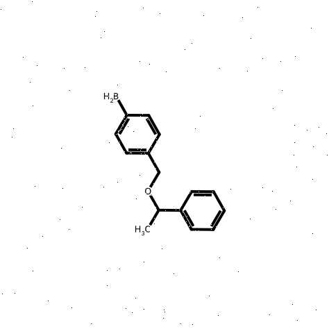 Bc1ccc(COC(C)c2ccccc2)cc1